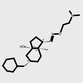 CN(C)CCO/N=C/[C@H]1CC[C@]2(O)C[C@@H](CC3CCCCC3)CC[C@]12C